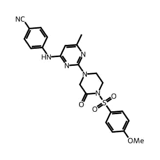 COc1ccc(S(=O)(=O)N2CCN(c3nc(C)cc(Nc4ccc(C#N)cc4)n3)CC2=O)cc1